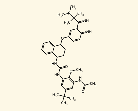 COc1c(NC(C)=O)cc(C(C)(C)C)cc1NC(=O)NC1CCC(Oc2ccc(=N)n(C(=N)C(C)(C)N(C)C)c2)c2ccccc21